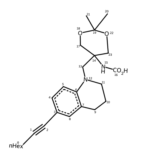 CCCCCCC#Cc1ccc2c(c1)CCCN2CC1(NC(=O)O)COC(C)(C)OC1